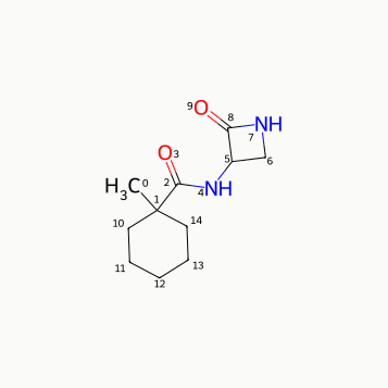 CC1(C(=O)NC2CNC2=O)CCCCC1